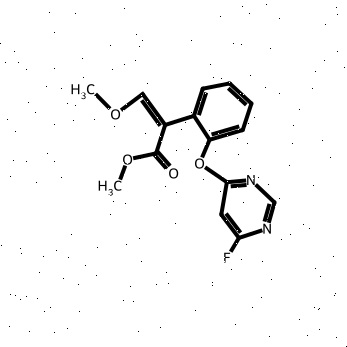 COC=C(C(=O)OC)c1ccccc1Oc1cc(F)ncn1